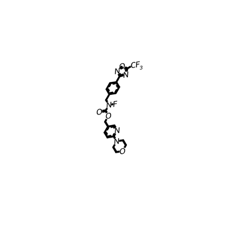 O=C(OCc1ccc(N2CCOCC2)nc1)N(F)Cc1ccc(-c2noc(C(F)(F)F)n2)cc1